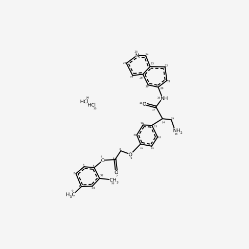 Cc1ccc(OC(=O)COc2ccc(C(CN)C(=O)Nc3ccc4cnccc4c3)cc2)c(C)c1.Cl.Cl